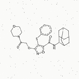 O=C(NC1C2CC3CC(C2)CC1C3)c1onc(OCC(=O)N2CCOCC2)c1Sc1ccccc1